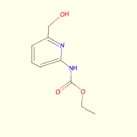 CCOC(=O)Nc1cccc(CO)n1